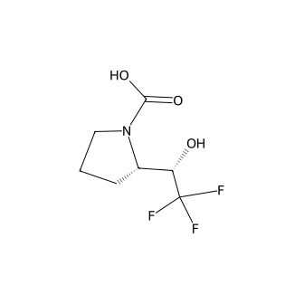 O=C(O)N1CCC[C@H]1[C@H](O)C(F)(F)F